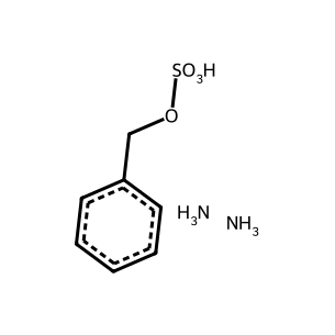 N.N.O=S(=O)(O)OCc1ccccc1